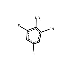 N#Cc1cc(Cl)cc(F)c1[N+](=O)[O-]